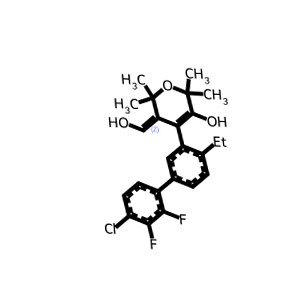 CCc1ccc(-c2ccc(Cl)c(F)c2F)cc1C1=C(O)C(C)(C)OC(C)(C)/C1=C\O